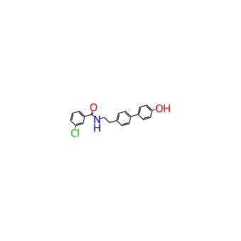 O=C(NCCc1ccc(-c2ccc(O)cc2)cc1)c1cccc(Cl)c1